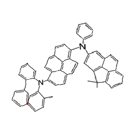 Cc1ccccc1N(c1ccccc1-c1ccccc1)c1ccc2ccc3c(N(c4ccccc4)c4cc5c6c(ccc7cccc(c76)C5(C)C)c4)ccc4ccc1c2c43